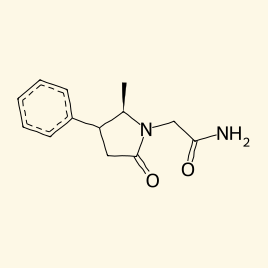 C[C@@H]1C(c2ccccc2)CC(=O)N1CC(N)=O